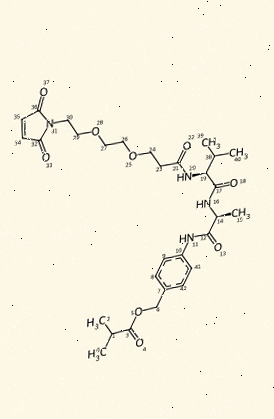 CC(C)C(=O)OCc1ccc(NC(=O)[C@H](C)NC(=O)[C@@H](NC(=O)CCOCCOCCN2C(=O)C=CC2=O)C(C)C)cc1